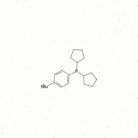 CC(C)(C)c1ccc(P(C2CCCC2)C2CCCC2)cc1